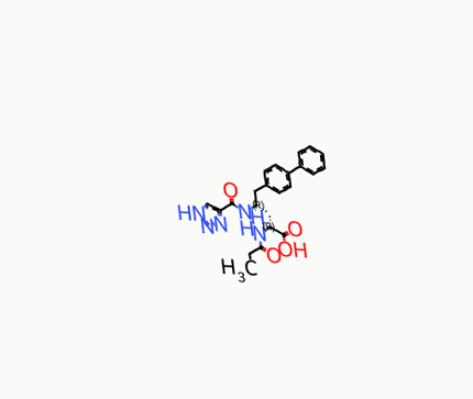 CCC(=O)N[C@H](C[C@@H](Cc1ccc(-c2ccccc2)cc1)NC(=O)c1c[nH]nn1)C(=O)O